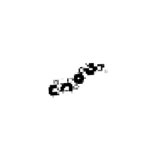 CC(Oc1ccc(Oc2ccc(C(F)(F)F)cn2)cc1)C(=O)C(C#N)C(=O)N1CCCCC1